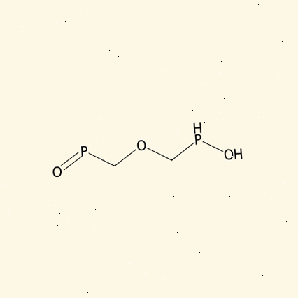 O=PCOCPO